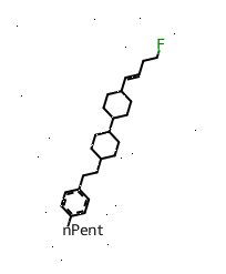 CCCCCc1ccc(CCC2CCC(C3CCC(C=CCCF)CC3)CC2)cc1